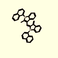 C=c1/c(=C\c2c(C)n(-c3cccc4ccccc34)c3ccccc23)n(-c2cccc3ccccc23)c2ccccc12